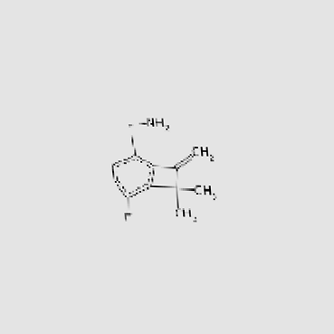 C=C1c2c(CN)ccc(F)c2C1(C)C